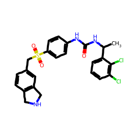 CC(NC(=O)Nc1ccc(S(=O)(=O)Cc2ccc3c(c2)CNC3)cc1)c1cccc(Cl)c1Cl